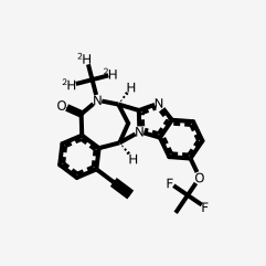 [2H]C([2H])([2H])N1C(=O)c2cccc(C#C)c2[C@H]2C[C@@H]1c1nc3ccc(OC(C)(F)F)cc3n12